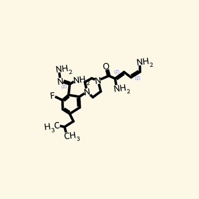 CC(C)Cc1cc(F)c(/C(N)=N/N)c(N2CCN(C(=O)/C(N)=C/C=C\N)CC2)c1